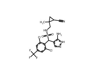 CC1(CNS(=O)(=O)C(c2cn[nH]c2N)c2c(Cl)cc(C(F)(F)F)cc2Cl)CC1C#N